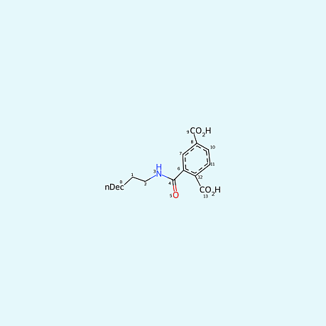 CCCCCCCCCCCCNC(=O)c1cc(C(=O)O)ccc1C(=O)O